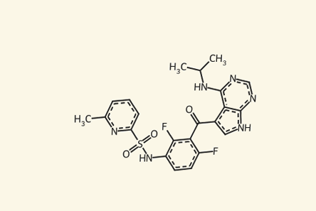 Cc1cccc(S(=O)(=O)Nc2ccc(F)c(C(=O)c3c[nH]c4ncnc(NC(C)C)c34)c2F)n1